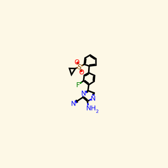 N#Cc1nc(-c2ccc(-c3ccccc3S(=O)(=O)C3CC3)cc2F)cnc1N